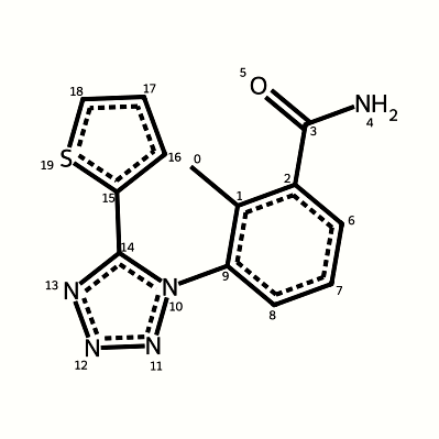 Cc1c(C(N)=O)cccc1-n1nnnc1-c1cccs1